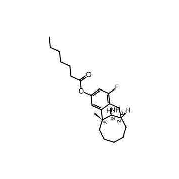 CCCCCCC(=O)Oc1cc(F)c2c(c1)[C@@]1(C)CCCCC[C@@H](C2)[C@@H]1N